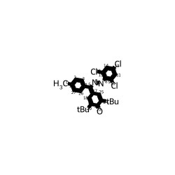 Cc1ccc(C(N=Nc2c(Cl)cc(Cl)cc2Cl)=C2C=C(C(C)(C)C)C(=O)C(C(C)(C)C)=C2)cc1